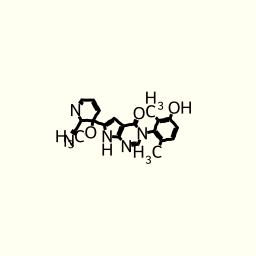 COC1(c2cc3c(=O)n(-c4c(C)ccc(O)c4C)cnc3[nH]2)C=CC=NC1C#N